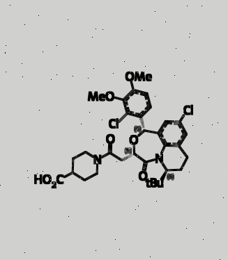 COc1ccc([C@H]2O[C@@H](CC(=O)N3CCC(C(=O)O)CC3)C(=O)N3c4c(cc(Cl)cc42)CC[C@H]3C(C)(C)C)c(Cl)c1OC